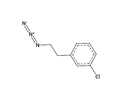 [N-]=[N+]=NCCc1cccc(Cl)c1